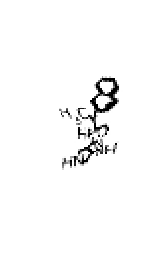 CC(C(=O)Nc1n[nH]c2c1CNC2)c1ccc2ccccc2c1